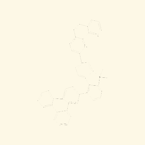 CC1(C)c2cc(-c3ccc4ccc5cccnc5c4n3)ccc2-c2c(-c3ccc4c5ccccc5c5ccccc5c4c3)cccc21